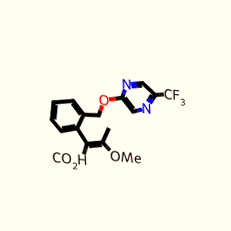 COC(C)=C(C(=O)O)c1ccccc1COc1cnc(C(F)(F)F)cn1